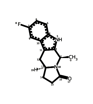 C[C@@H]1c2[nH]c3ccc(F)cc3c2C[C@@H]2CCC(=O)N21